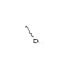 Cc1ccc(OC(=O)CCCCCCC(=O)O)cc1